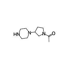 CC(=O)N1CCC(N2CCNCC2)C1